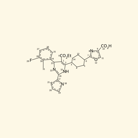 CCOC(=O)C1=C(C2CCC(c3nc(C(=O)O)co3)CC2)NC(c2nccs2)=NC1c1cccc(F)c1C